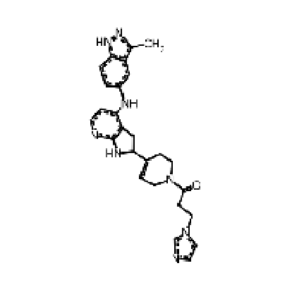 Cc1n[nH]c2ccc(Nc3ccnc4c3CC(C3=CCN(C(=O)CCn5ccnc5)CC3)N4)cc12